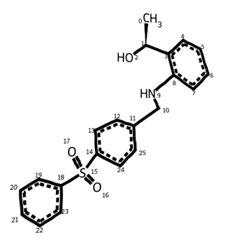 C[C@H](O)c1ccccc1NCc1ccc(S(=O)(=O)c2ccccc2)cc1